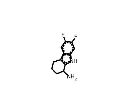 NC1CCCc2c1[nH]c1cc(F)c(F)cc21